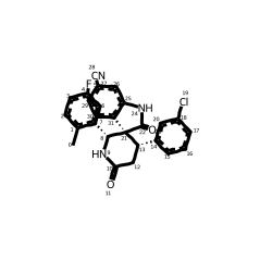 Cc1ccc(F)cc1[C@H]1NC(=O)C[C@@H](c2cccc(Cl)c2)[C@]12C(=O)Nc1cc(C#N)ccc12